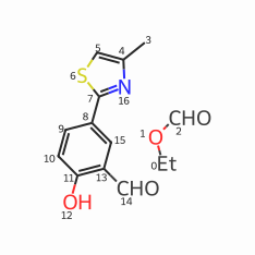 CCOC=O.Cc1csc(-c2ccc(O)c(C=O)c2)n1